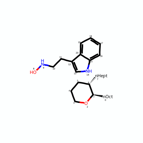 CCCCCCCC[C@H]1OCCC[C@@H]1CCCCCCC.ONCCc1c[nH]c2ccccc12